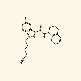 Cc1ccc2c(c1)c(C(=O)NC1CCCC3=C1CCC=C3)nn2CCCCC#N